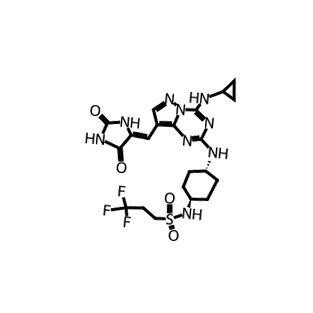 O=C1NC(=O)/C(=C/c2cnn3c(NC4CC4)nc(N[C@H]4CC[C@H](NS(=O)(=O)CCC(F)(F)F)CC4)nc23)N1